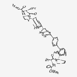 COC(=O)N[C@H](C(=O)N1CCCC1c1cnc(-c2cn3cc(-c4ccc(-c5cnc([C@@H]6CCCN6C(=O)[C@@H](NC(=O)OC)C(C)C)[nH]5)cc4)sc3n2)[nH]1)C(C)C